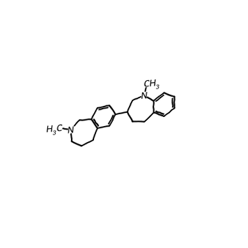 CN1CCCc2cc(C3CCc4ccccc4N(C)C3)ccc2C1